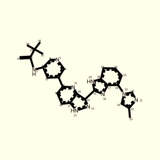 C=C(Nc1cncc(-c2ccc3[nH]nc(-c4nc5c(-n6cnc(C)c6)cccc5[nH]4)c3n2)c1)C(C)(C)C